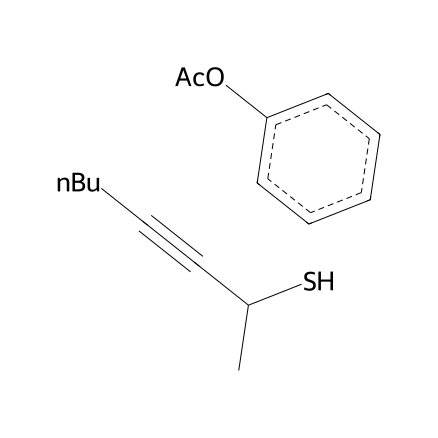 CC(=O)Oc1ccccc1.CCCCC#CC(C)S